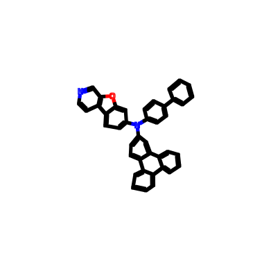 c1ccc(-c2ccc(N(c3ccc4c(c3)oc3cnccc34)c3ccc4c5ccccc5c5ccccc5c4c3)cc2)cc1